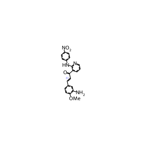 COc1ccc(/C=C/C(=O)c2cccnc2Nc2ccc([N+](=O)[O-])cc2)cc1N